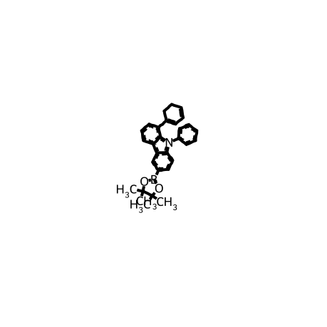 CC1(C)OB(c2ccc3c(c2)c2cccc(C4=CC=CCC4)c2n3-c2ccccc2)OC1(C)C